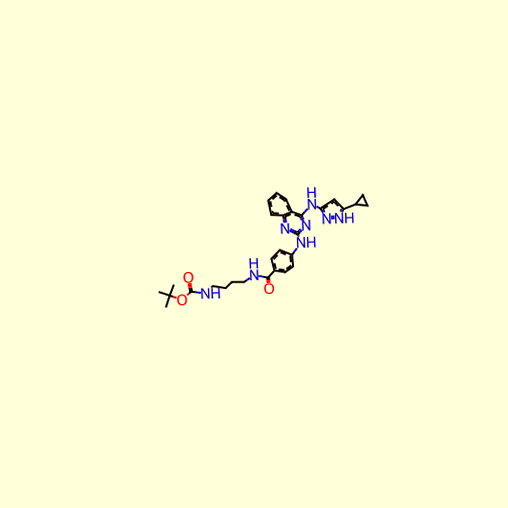 CC(C)(C)OC(=O)NCCCCNC(=O)c1ccc(Nc2nc(Nc3cc(C4CC4)[nH]n3)c3ccccc3n2)cc1